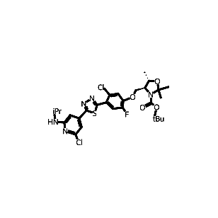 CC(C)Nc1cc(-c2nnc(-c3cc(F)c(OC[C@H]4[C@H](C)OC(C)(C)N4C(=O)OC(C)(C)C)cc3Cl)s2)cc(Cl)n1